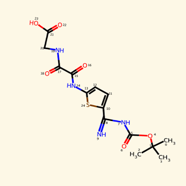 CC(C)(C)OC(=O)NC(=N)c1ccc(NC(=O)C(=O)NCC(=O)O)s1